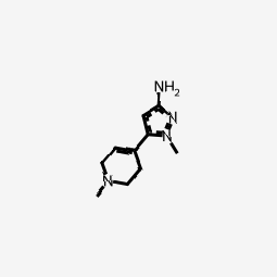 CN1CC=C(c2cc(N)nn2C)CC1